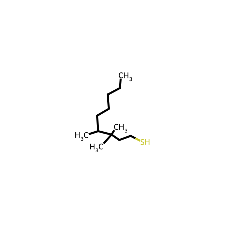 CCCCCC(C)C(C)(C)CCS